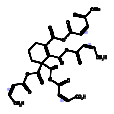 COC(=O)/C=C\C(=O)OC(=O)C1=C(C(=O)OC(=O)/C=C\C(=O)O)C(C(=O)OC(=O)/C=C\C(=O)O)(C(=O)OC(=O)/C=C\C(=O)O)CCC1